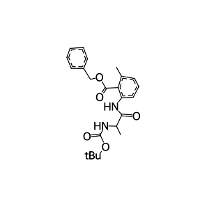 Cc1cccc(NC(=O)C(C)NC(=O)OC(C)(C)C)c1C(=O)OCc1ccccc1